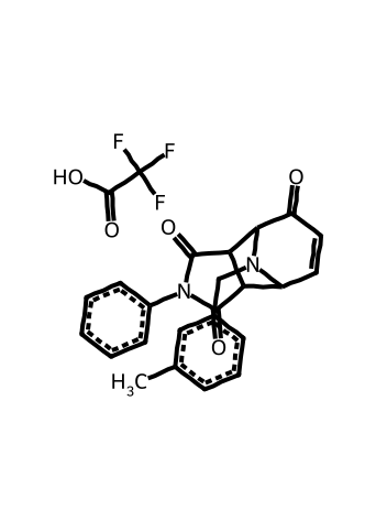 Cc1cccc(CN2C3C=CC(=O)C2C2C(=O)N(c4ccccc4)C(=O)C23)c1.O=C(O)C(F)(F)F